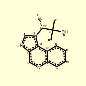 CC[C@@H](n1cnc2cnc3ccccc3c21)C(C)(C)O